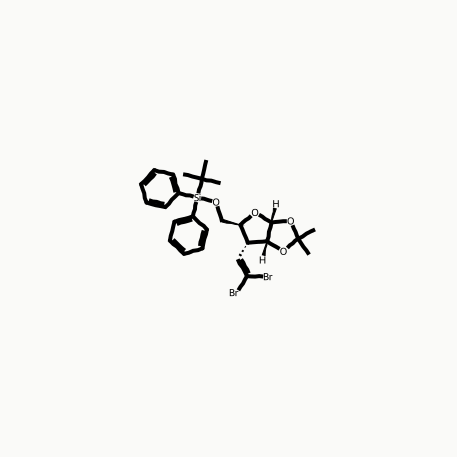 CC1(C)O[C@H]2O[C@H](CO[Si](c3ccccc3)(c3ccccc3)C(C)(C)C)[C@@H](C=C(Br)Br)[C@H]2O1